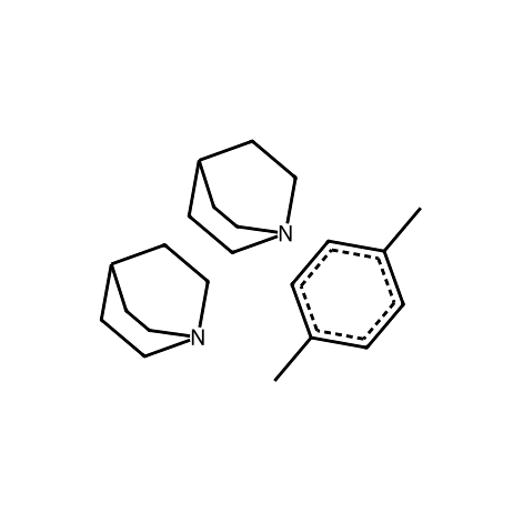 C1CN2CCC1CC2.C1CN2CCC1CC2.Cc1ccc(C)cc1